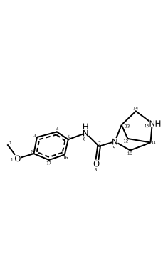 COc1ccc(NC(=O)N2CC3CC2CN3)cc1